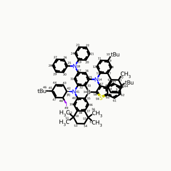 CC1CC=CC=C1c1cc(C(C)(C)C)ccc1N1c2cc(N(c3ccccc3)c3ccccc3)cc3c2B(c2cc4c(cc2N3[C@@H]2C=CC(C(C)(C)C)=CC2I)C(C)(C)CCC4(C)C)c2sc3ccc(C(C)(C)C)cc3c21